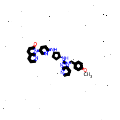 COc1ccc(Cn2c(N[C@H]3CC[C@H](Nc4ccc(-n5c(=O)ccc6cccnc65)cn4)C3)nc3ncccc32)cc1